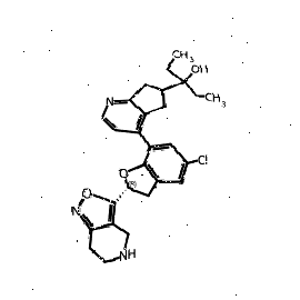 CCC(O)(CC)C1Cc2nccc(-c3cc(Cl)cc4c3O[C@@H](c3onc5c3CNCC5)C4)c2C1